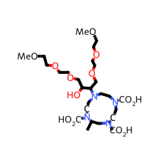 COCCOCCOCC(O)C(COCCOCCOC)N1CCN(C(=O)O)CCN(C(=O)O)CC(C)N(C(=O)O)CC1